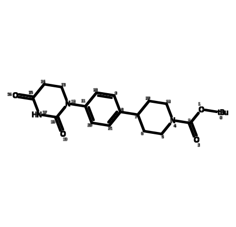 CC(C)(C)OC(=O)N1CCC(c2ccc(N3CCC(=O)NC3=O)cc2)CC1